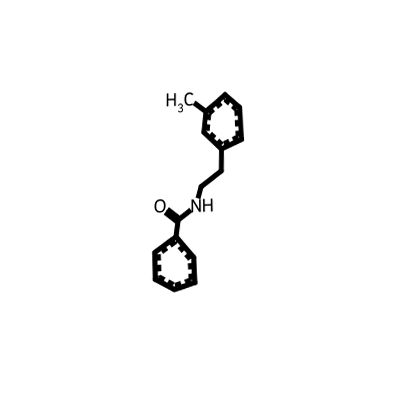 Cc1cccc(CCNC(=O)c2ccccc2)c1